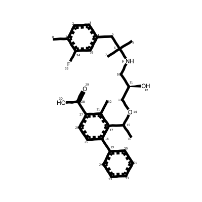 Cc1ccc(CC(C)(C)NC[C@@H](O)COC(C)c2c(-c3ccccc3)ccc(C(=O)O)c2C)cc1F